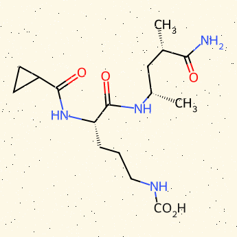 C[C@@H](C[C@H](C)C(N)=O)NC(=O)[C@H](CCCNC(=O)O)NC(=O)C1CC1